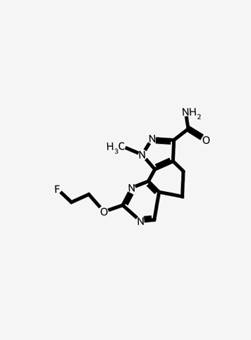 Cn1nc(C(N)=O)c2c1-c1nc(OCCF)ncc1CC2